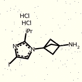 CC(C)c1nc(I)cn1C12CC(N)(C1)C2.Cl.Cl